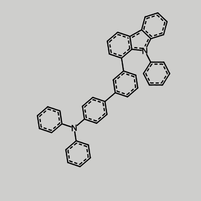 c1ccc(N(c2ccccc2)c2ccc(-c3cccc(-c4cccc5c6ccccc6n(-c6ccccc6)c45)c3)cc2)cc1